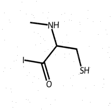 CNC(CS)C(=O)I